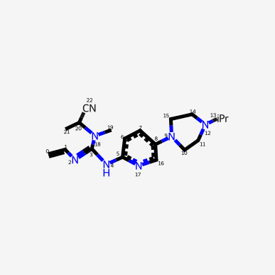 C=C/N=C(/Nc1ccc(N2CCN(C(C)C)CC2)cn1)N(C)C(C)C#N